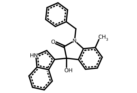 Cc1cccc2c1N(Cc1ccccc1)C(=O)C2(O)c1c[nH]c2ccccc12